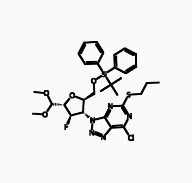 CCCSc1nc(Cl)c2nnn([C@@H]3[C@@H](F)[C@H](C(OC)OC)O[C@H]3CO[Si](c3ccccc3)(c3ccccc3)C(C)(C)C)c2n1